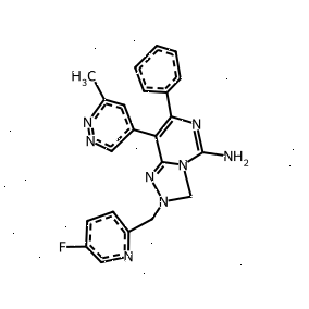 Cc1cc(C2=C(c3ccccc3)N=C(N)N3CN(Cc4ccc(F)cn4)N=C23)cnn1